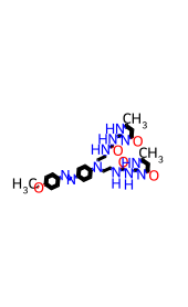 COc1ccc(/N=N/c2ccc(N(CCNC(=O)Nc3nc(=O)cc(C)[nH]3)CCNC(=O)Nc3nc(=O)cc(C)[nH]3)cc2)cc1